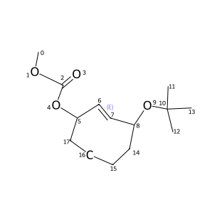 COC(=O)OC1/C=C/C(OC(C)(C)C)CCCC1